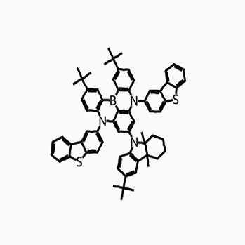 CC(C)(C)c1ccc2c(c1)B1c3cc(C(C)(C)C)ccc3N(c3ccc4sc5ccccc5c4c3)c3cc(N4c5ccc(C(C)(C)C)cc5C5(C)CCCCC45C)cc(c31)N2c1ccc2sc3ccccc3c2c1